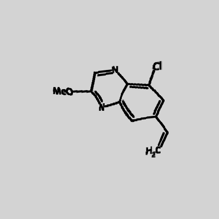 C=Cc1cc(Cl)c2ncc(OC)nc2c1